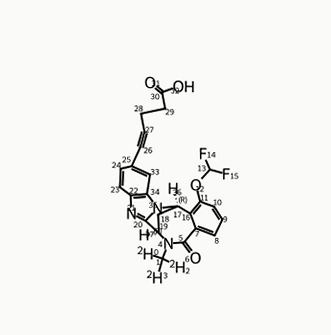 [2H]C([2H])([2H])N1C(=O)c2cccc(OC(F)F)c2[C@H]2C[C@@H]1c1nc3ccc(C#CCCC(=O)O)cc3n12